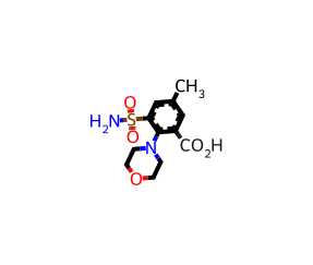 Cc1cc(C(=O)O)c(N2CCOCC2)c(S(N)(=O)=O)c1